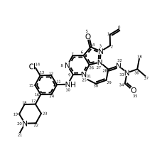 C=CCn1c(=O)c2cnc(Nc3cc(Cl)cc(C4CCN(C)CC4)c3)nc2n1C(/C=C\C)=N/N(C=O)C(C)C